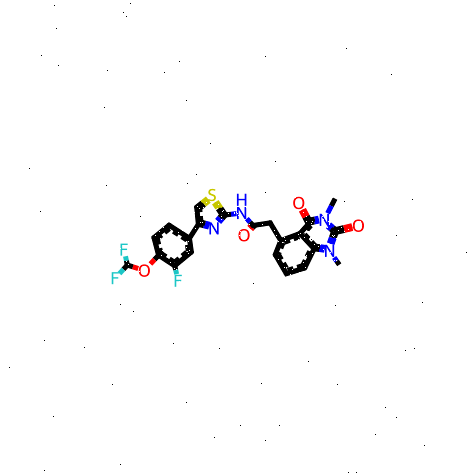 Cn1c(=O)c2c(CC(=O)Nc3nc(-c4ccc(OC(F)F)c(F)c4)cs3)cccc2n(C)c1=O